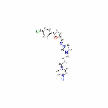 Clc1ccc(-c2ccc(C=NN3CCN(CCCCN4CCNCC4)C3)o2)cc1